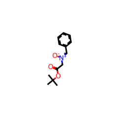 CC(C)(C)OC(=O)C[N+]([O-])=Cc1ccccc1